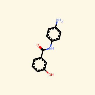 Nc1ccc(NC(=O)c2cccc(O)c2)cc1